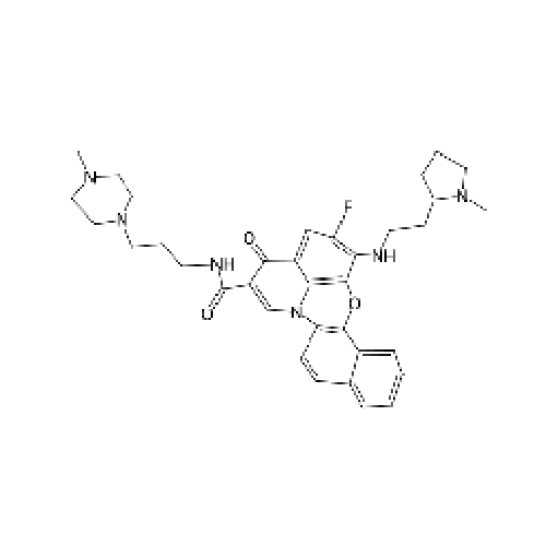 CN1CCN(CCCNC(=O)c2cn3c4c(c(NCCC5CCCN5C)c(F)cc4c2=O)Oc2c-3ccc3ccccc23)CC1